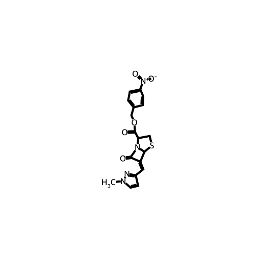 Cn1ccc(C=C2C(=O)N3C(C(=O)OCc4ccc([N+](=O)[O-])cc4)CSC23)n1